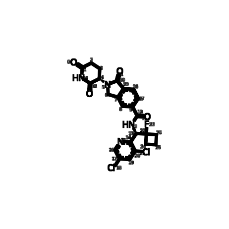 O=C1CC[C@H](N2Cc3cc(C(=O)N[C@H](c4ncc(Cl)cc4Cl)C4(F)CCC4)ccc3C2=O)C(=O)N1